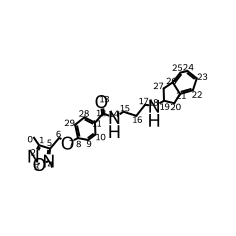 Cc1nonc1COc1ccc(C(=O)NCCCNC2Cc3ccccc3C2)cc1